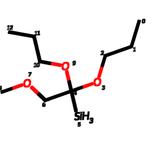 CCCOC([SiH3])([CH]OC)OCCC